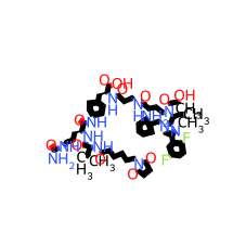 CC(C)C(NC(=O)CCCCCN1C(=O)C=CC1=O)C(=O)N[C@@H](CCCNC(N)=O)C(=O)Nc1ccc(C[C@H](NC(=O)CCNC(=O)[C@@H](N)CCN(C(=O)CO)[C@@H](c2nc(-c3cc(F)ccc3F)cn2Cc2ccccc2)C(C)(C)C)C(=O)O)cc1